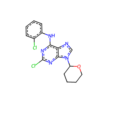 Clc1nc(Nc2ccccc2Cl)c2ncn(C3CCCCO3)c2n1